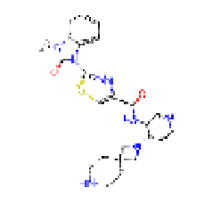 Cn1c(=O)n(-c2nc(C(=O)Nc3cnccc3N3CC4(CCNCC4)C3)cs2)c2ccccc21